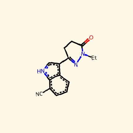 CCN1N=C(c2c[nH]c3c(C#N)cccc23)CCC1=O